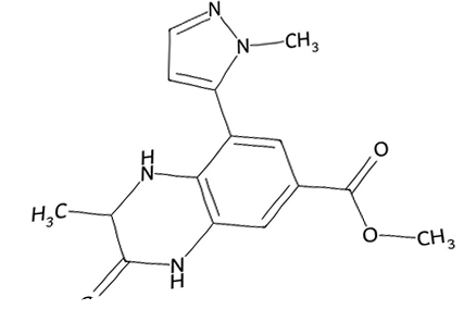 COC(=O)c1cc2c(c(-c3ccnn3C)c1)NC(C)C(=O)N2